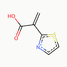 C=C(C(=O)O)c1nccs1